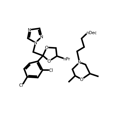 CCCC1COC(Cn2cncn2)(c2ccc(Cl)cc2Cl)O1.CCCCCCCCCCCCCN1CC(C)OC(C)C1